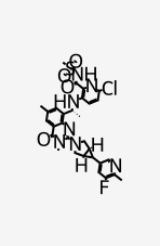 Cc1cc([C@@H](C)Nc2ccc(Cl)nc2C(=O)NS(C)(=O)=O)c2nc(N3C[C@@H]4C(c5cnc(C)c(F)c5)[C@@H]4C3)n(C)c(=O)c2c1